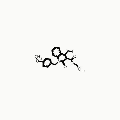 CCOC(=O)c1c(CI)c2ccccc2n(Cc2ccc(OC)cc2)c1=O